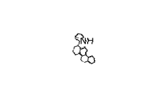 C1=C2C=C(C3CCCc4c3ccc3c4CCc4ccccc4-3)NC(=C1)CC2